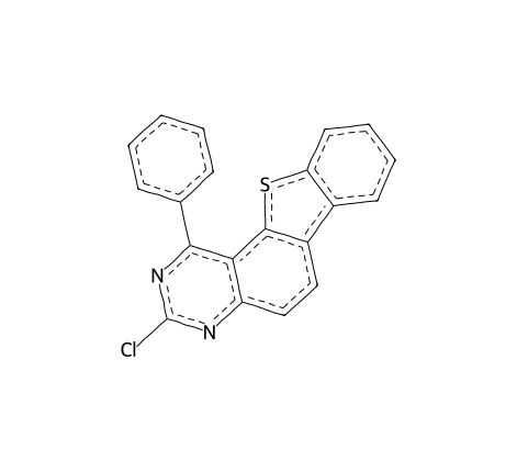 Clc1nc(-c2ccccc2)c2c(ccc3c4ccccc4sc32)n1